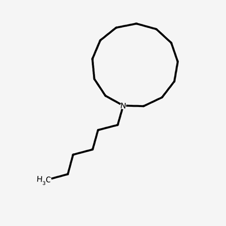 CCCCCCN1CCCCCCCCCCCC1